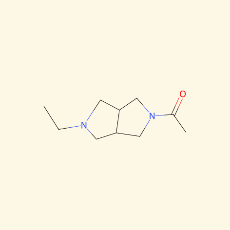 CCN1CC2CN(C(C)=O)CC2C1